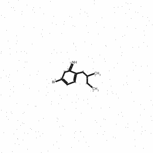 CCC(C)CC1=CC=C(Br)CC1=N